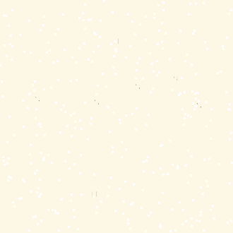 CCCc1cc([N+](=O)[O-])cnc1CC(CC=N)Nc1ncccc1Br